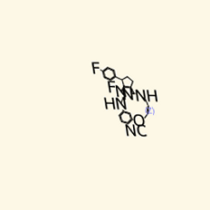 [C-]#[N+]c1ccc2cc1OC/C=C\CNc1nc(nc3c1CCC3c1ccc(F)cc1F)N2